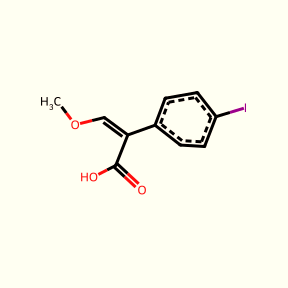 COC=C(C(=O)O)c1ccc(I)cc1